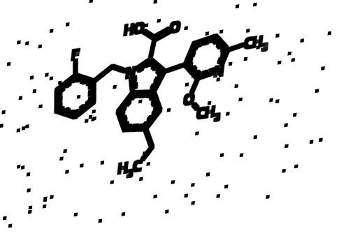 CCc1ccc2c(c1)c(-c1ccc(C)nc1OC)c(C(=O)O)n2Cc1ccccc1F